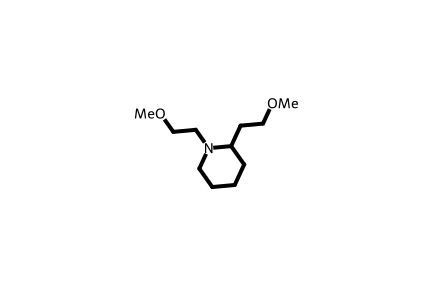 COCCC1CCCCN1CCOC